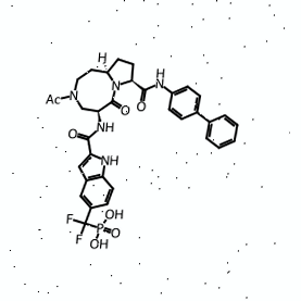 CC(=O)N1CC[C@H]2CC[C@@H](C(=O)Nc3ccc(-c4ccccc4)cc3)N2C(=O)[C@@H](NC(=O)c2cc3cc(C(F)(F)P(=O)(O)O)ccc3[nH]2)C1